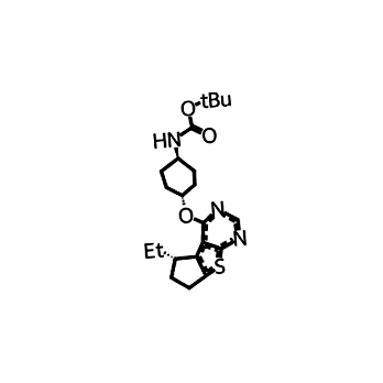 CC[C@H]1CCc2sc3ncnc(O[C@H]4CC[C@H](NC(=O)OC(C)(C)C)CC4)c3c21